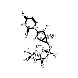 CC[C@]12O[C@@H](n3ccc(=O)[nH]c3=O)[C@H](F)[C@@]1(O)C2OP(=O)(O)OP(=O)(O)OP(=O)(O)O